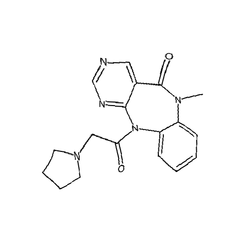 CN1C(=O)c2cncnc2N(C(=O)CN2CCCC2)c2ccccc21